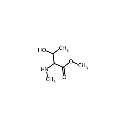 CNC(C(=O)OC)C(C)O